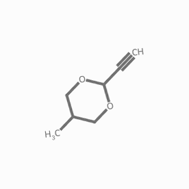 C#CC1OCC(C)CO1